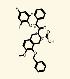 COc1ccc2c(c1OCc1ccccc1)C[C@@H](C(=O)O)N(C(=O)[C@H](Oc1c(F)cc(F)cc1F)c1ccccc1)C2